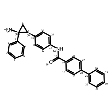 N[C@@]1(c2ccccc2)C[C@H]1c1ccc(NC(=O)c2ccc(-c3ccccc3)cc2)cc1